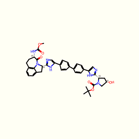 COC(=O)N[C@H]1CCc2cccc3c2N(C1=O)[C@H](c1ncc(-c2ccc(-c4ccc(-c5cnc([C@@H]6C[C@H](O)CN6C(=O)OC(C)(C)C)[nH]5)cc4)cc2)[nH]1)C3